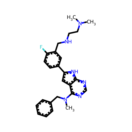 CN(C)CCNCc1cc(-c2cc3c(N(C)Cc4ccccc4)ncnc3[nH]2)ccc1F